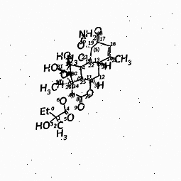 CCC(C)(O)C(=O)O[C@H]1C(=O)O[C@@H]2C[C@H]3C(C)=CC(=O)[C@@H](ON)[C@]3(C)C3[C@@]24CO[C@@]3(O)[C@H](O)[C@H](C)[C@H]14